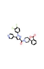 O=C1OC2(CCN(C(=O)c3cc(-c4ccncc4)n(-c4ccc(F)c(F)c4)n3)CC2)c2ccccc21